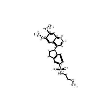 COCCNS(=O)(=O)c1ccc2c(c1)CCN2c1cnnc2cc(OC)c(OC)cc12